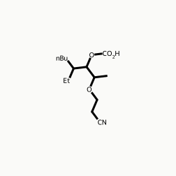 CCCCC(CC)C(OC(=O)O)C(C)OCCC#N